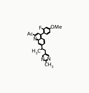 COc1ccc(-c2cc(C(C)=O)nc3cc(C(C)Cc4cnc(C)nc4)ccc23)c(F)c1